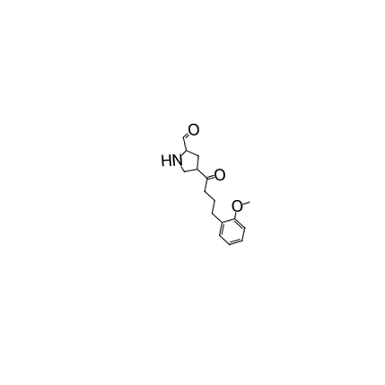 COc1ccccc1CCCC(=O)C1CNC(C=O)C1